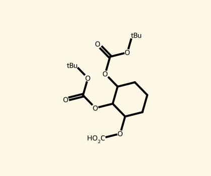 CC(C)(C)OC(=O)OC1CCCC(OC(=O)O)C1OC(=O)OC(C)(C)C